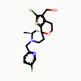 C[C@H]1C[C@@]2(CCN1Cc1ccc(F)cn1)OCCc1c2sc(Cl)c1CO